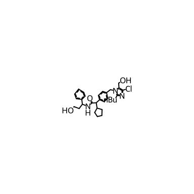 CCCCc1nc(Cl)c(CO)n1Cc1ccc(C(C(=O)NC(CCO)c2ccccc2)C2CCCC2)cc1